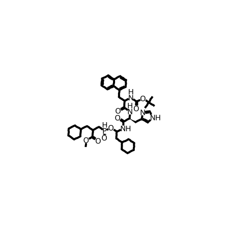 COC(=O)C(CC1CCCCC1)C[PH](=O)OC(CC1CCCCC1)NC(=O)[C@H](Cc1c[nH]cn1)NC(=O)C(Cc1cccc2ccccc12)NC(=O)OC(C)(C)C